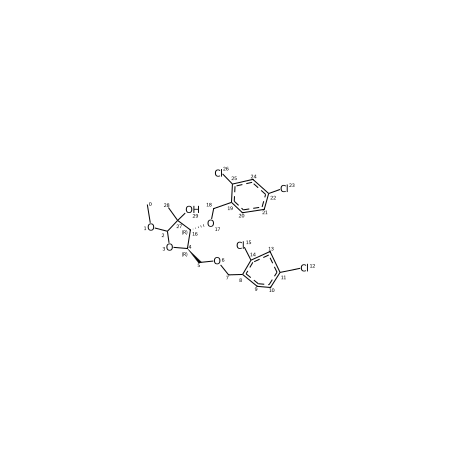 COC1O[C@H](COCc2ccc(Cl)cc2Cl)[C@@H](OCc2ccc(Cl)cc2Cl)C1(C)O